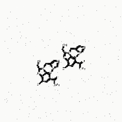 CCn1cncc1Cn1c(CCl)nc2c(Cl)cc(C(=O)OC)cc21.CCn1cncc1Cn1c(CO)nc2c(Cl)cc(C(=O)OC)cc21